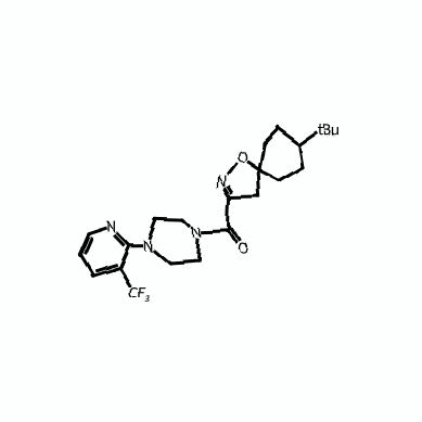 CC(C)(C)C1CCC2(CC1)CC(C(=O)N1CCN(c3ncccc3C(F)(F)F)CC1)=NO2